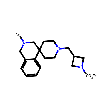 CCOC(=O)N1CC(CN2CCC3(CC2)CN(C(C)=O)Cc2ccccc23)C1